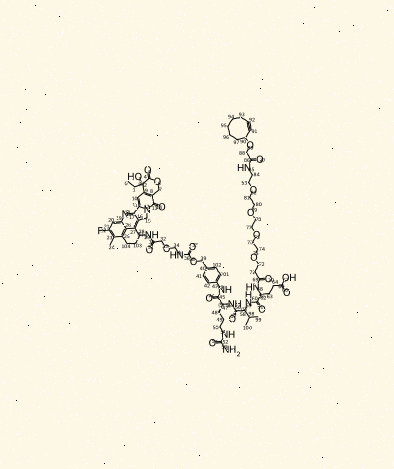 CC[C@@]1(O)C(=O)OCc2c1cc1n(c2=O)Cc2c-1nc1cc(F)c(C)c3c1c2[C@@H](NC(=O)COCNC(=O)OCc1ccc(NC(=O)[C@H](CCCNC(N)=O)NC(=O)[C@@H](NC(=O)[C@H](CCC(=O)O)NC(=O)CCOCCOCCOCCOCCNC(=O)COC2C#CCCCCC2)C(C)C)cc1)CC3